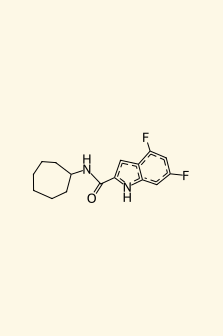 O=C(NC1CCCCCC1)c1cc2c(F)cc(F)cc2[nH]1